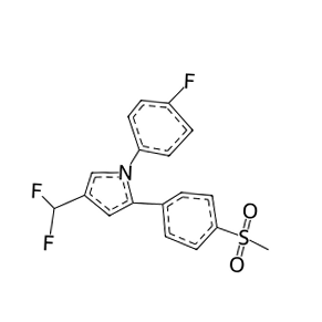 CS(=O)(=O)c1ccc(-c2cc(C(F)F)cn2-c2ccc(F)cc2)cc1